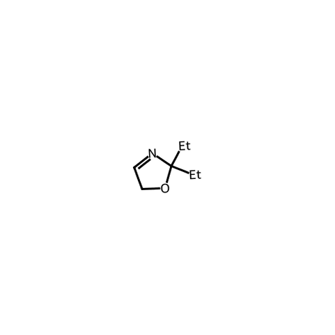 CCC1(CC)N=CCO1